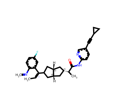 C=Nc1ccc(F)cc1/C(=C\C)C1C[C@@H]2C[C@H](C(C)C(=O)Nc3ccc(C#CC4CC4)cn3)C[C@@H]2C1